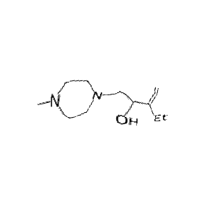 C=C(CC)C(O)CN1CCN(C)CC1